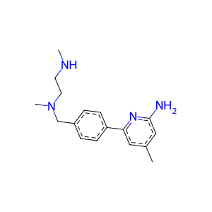 CNCCN(C)Cc1ccc(-c2cc(C)cc(N)n2)cc1